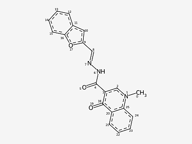 Cn1cc(C(=O)NN=Cc2cc3ccccc3o2)c(=O)c2ccccc21